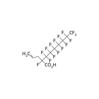 C=CCC(F)(C(=O)O)C(F)(F)C(F)(F)C(F)(F)C(F)(F)C(F)(F)C(F)(F)C(F)(F)F